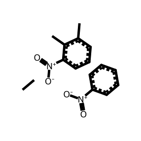 CC.Cc1cccc([N+](=O)[O-])c1C.O=[N+]([O-])c1ccccc1